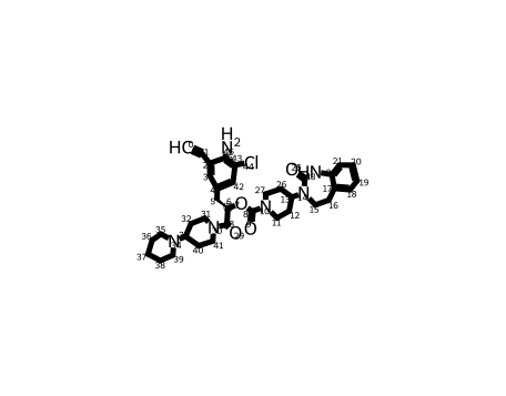 C#Cc1cc(C[C@@H](OC(=O)N2CCC(N3CCc4ccccc4NC3=O)CC2)C(=O)N2CCC(N3CCCCC3)CC2)cc(Cl)c1N